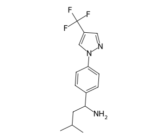 CC(C)CC(N)c1ccc(-n2cc(C(F)(F)F)cn2)cc1